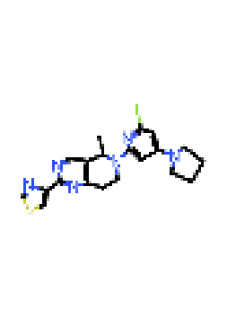 CC1c2cnc(-c3cscn3)nc2CCN1c1cc(N2CCCC2)cc(F)n1